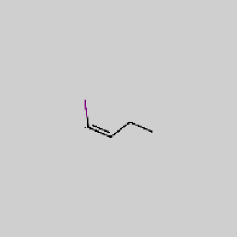 CC/C=[C]\I